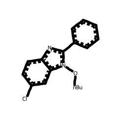 CCCCOn1c(-c2ccccc2)nc2ccc(Cl)cc21